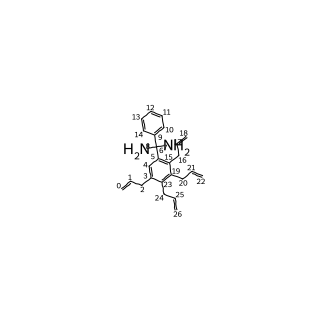 C=CCc1cc(C(N)(N)c2ccccc2)c(CC=C)c(CC=C)c1CC=C